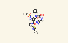 CCC(NC[C@@H](O)[C@H](Cc1ccccc1)NC(=O)c1cc(NCS(C)(=O)=O)cc(C(=O)N2CCC[C@@H]2c2nc(C)cs2)c1)c1cn[nH]c1